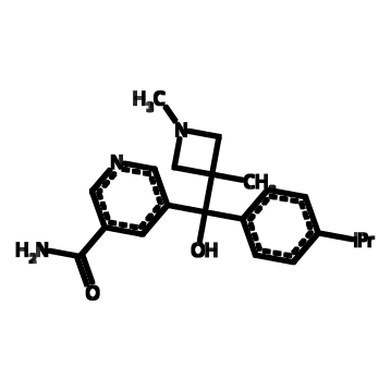 CC(C)c1ccc(C(O)(c2cncc(C(N)=O)c2)C2(C)CN(C)C2)cc1